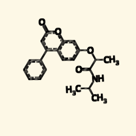 CC(C)NC(=O)C(C)Oc1ccc2c(-c3ccccc3)cc(=O)oc2c1